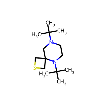 CC(C)(C)N1CCN(C(C)(C)C)C2(CSC2)C1